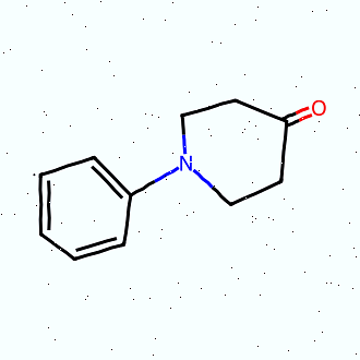 O=C1CCN(c2c[c]ccc2)CC1